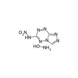 NO.O=[N+]([O-])Nc1nnc2nncn2n1